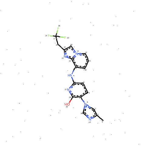 Cc1cn(-c2ccc(Nc3cccn4cc(CC(F)(F)F)nc34)nc2O)cn1